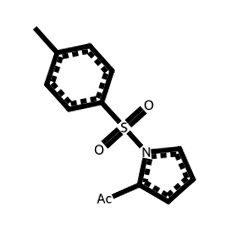 CC(=O)c1cccn1S(=O)(=O)c1ccc(C)cc1